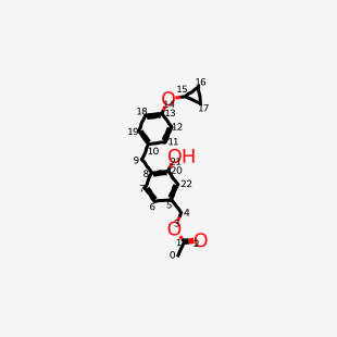 CC(=O)OCc1ccc(Cc2ccc(OC3CC3)cc2)c(O)c1